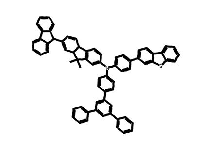 CC1(C)c2cc(N(c3ccc(-c4cc(-c5ccccc5)cc(-c5ccccc5)c4)cc3)c3ccc(-c4ccc5c(c4)sc4ccccc45)cc3)ccc2C2C=CC(C3c4ccccc4-c4ccccc43)=CC21